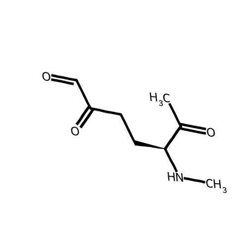 CN[C@@H](CCC(=O)C=O)C(C)=O